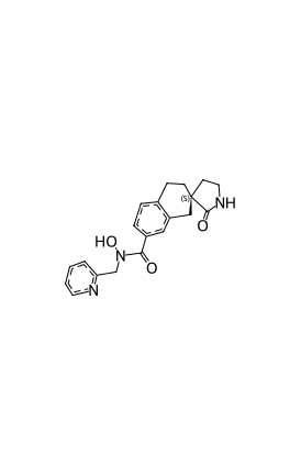 O=C(c1ccc2c(c1)C[C@]1(CCNC1=O)CC2)N(O)Cc1ccccn1